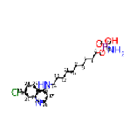 NP(=O)(O)OCCCCCCCCCCNc1ccnc2cc(Cl)ccc12